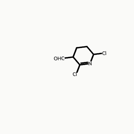 O=CC1CCC(Cl)N=C1Cl